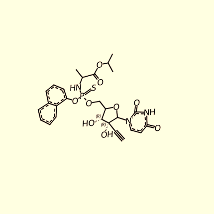 C#C[C@]1(O)C(n2ccc(=O)[nH]c2=O)OC(COP(=S)(NC(C)C(=O)OC(C)C)Oc2cccc3ccccc23)[C@H]1O